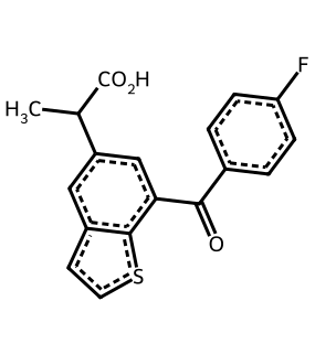 CC(C(=O)O)c1cc(C(=O)c2ccc(F)cc2)c2sccc2c1